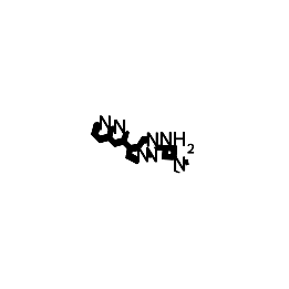 CN(C)C1CC(N)(c2ncc3c(-c4cnc5ncccc5c4)ccn3n2)C1